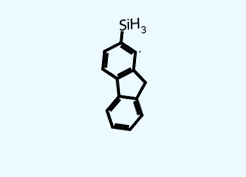 [SiH3]c1[c]c2c(cc1)-c1ccccc1C2